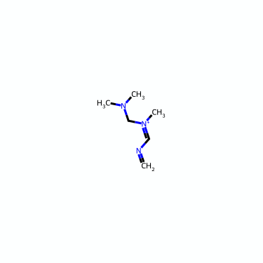 C=NC=[N+](C)CN(C)C